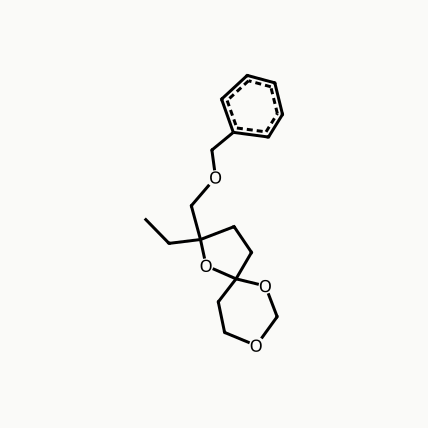 CCC1(COCc2ccccc2)CCC2(CCOCO2)O1